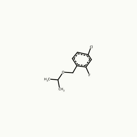 CC(C)OCc1ccc(Cl)cc1F